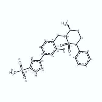 C[C@H]1CCC(c2ccccc2)S(=O)(=O)N1Cc1ccc(-c2n[nH]c(S(C)(=O)=O)n2)cc1F